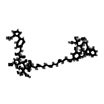 Cc1ncsc1-c1ccc(CNC(=O)[C@@H]2C[C@@H](O)CN2C(=O)C(NC(=O)COCCOCCOCCOc2cc(F)c([C@@H]3c4[nH]c5ccccc5c4C[C@@H](C)N3CC(F)(F)F)c(F)c2)C(C)(C)C)cc1